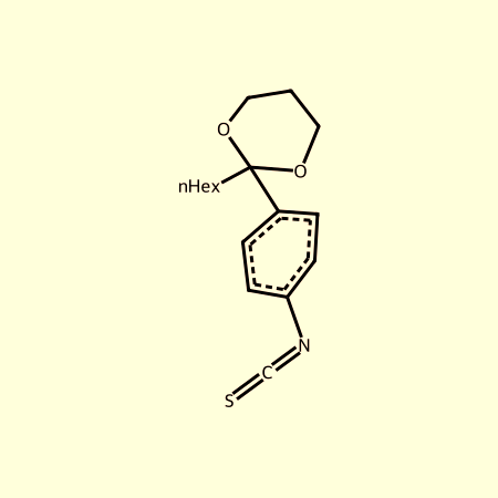 CCCCCCC1(c2ccc(N=C=S)cc2)OCCCO1